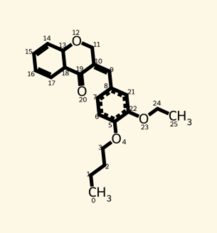 CCCCOc1ccc(C=C2COC3C=CC=CC3C2=O)cc1OCC